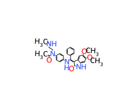 CNCCN(C(C)=O)c1ccc(N/C(=C2\C(=O)Nc3cc(OC)c(OC)cc32)c2ccccc2)cc1